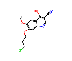 COc1cc2c(O)c(C#N)cnc2cc1OCCCCl